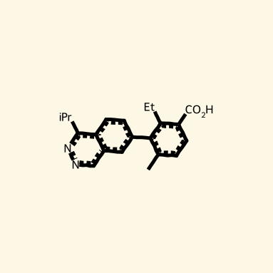 CCc1c(C(=O)O)ccc(C)c1-c1ccc2c(C(C)C)nncc2c1